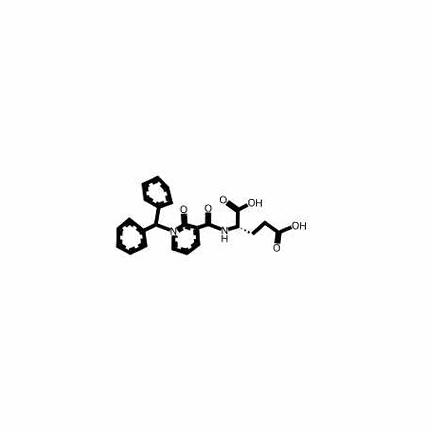 O=C(O)CC[C@H](NC(=O)c1cccn(C(c2ccccc2)c2ccccc2)c1=O)C(=O)O